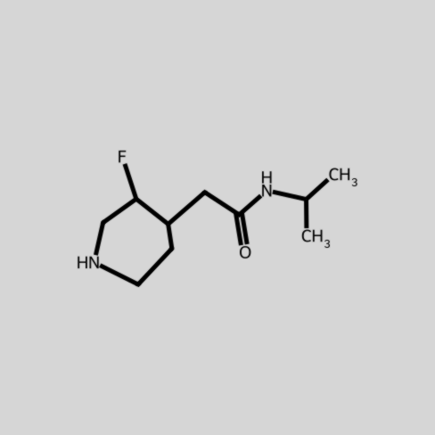 CC(C)NC(=O)CC1CCNCC1F